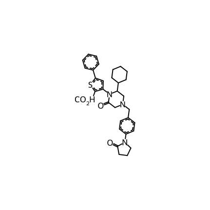 O=C(O)c1sc(-c2ccccc2)cc1N1C(=O)CN(Cc2ccc(N3CCCC3=O)cc2)CC1C1CCCCC1